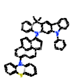 CC1(C)c2ccccc2N(c2ccc3ccc4c(N5c6ccccc6Sc6ccccc65)ccc5ccc2c3c54)c2cc3c(cc21)c1ccccc1n3-c1ccccc1